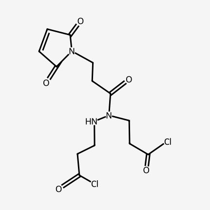 O=C(Cl)CCNN(CCC(=O)Cl)C(=O)CCN1C(=O)C=CC1=O